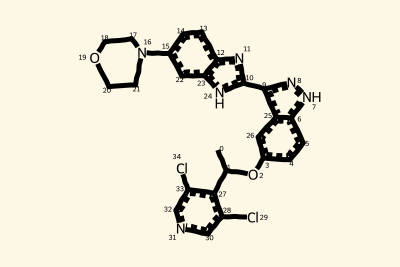 CC(Oc1ccc2[nH]nc(-c3nc4ccc(N5CCOCC5)cc4[nH]3)c2c1)c1c(Cl)cncc1Cl